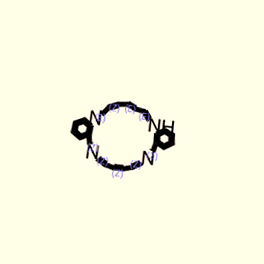 C1=C\C=C/N=C\c2ccccc2N/C=C/C=C/C=C\C=N\c2ccccc2/C=N\C=C/1